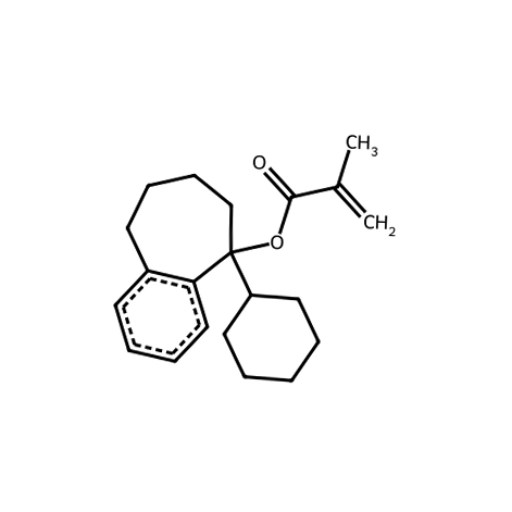 C=C(C)C(=O)OC1(C2CCCCC2)CCCCc2ccccc21